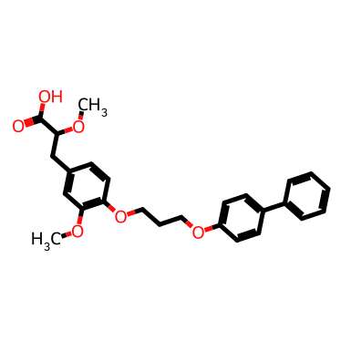 COc1cc(CC(OC)C(=O)O)ccc1OCCCOc1ccc(-c2ccccc2)cc1